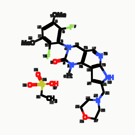 CCN1C(=O)N(c2c(F)c(OC)cc(OC)c2F)Cc2cnc3[nH]c(CN4CCOCC4)cc3c21.CCS(=O)(=O)O